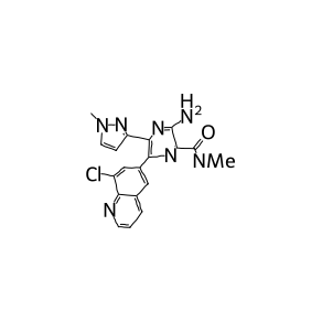 CNC(=O)c1nc(-c2cc(Cl)c3ncccc3c2)c(-c2ccn(C)n2)nc1N